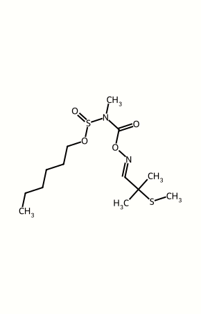 CCCCCCOS(=O)N(C)C(=O)ON=CC(C)(C)SC